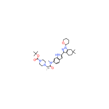 C[C@@H](C(=O)N(C)c1ccc2cc(-c3nn(C4CCCCO4)c4c3CCC(C)(C)C4)[nH]c2c1)N1CCN(C(=O)OC(C)(C)C)CC1